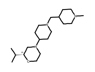 CC(C)[C@@H]1CN(C2CCN(CC3CCN(C)CC3)CC2)CCO1